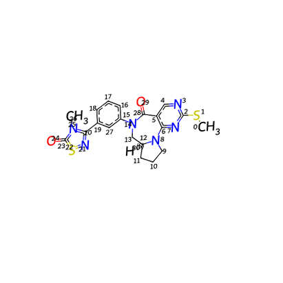 CSc1ncc2c(n1)N1CCC[C@H]1CN(c1cccc(-c3nsc(=O)n3C)c1)C2=O